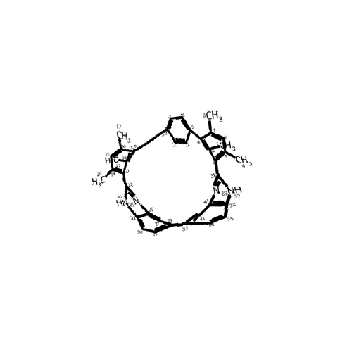 Cc1cc(C)c2c(C)c1-c1ccc(cc1)-c1c(C)cc(C)c(c1C)-c1nc3cc(ccc3[nH]1)-c1ccc3[nH]c-2nc3c1